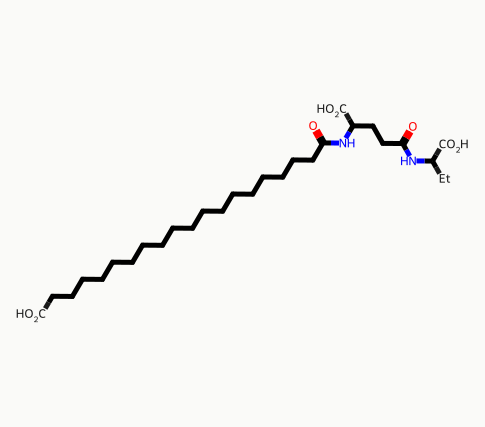 CCC(NC(=O)CCC(NC(=O)CCCCCCCCCCCCCCCCCCC(=O)O)C(=O)O)C(=O)O